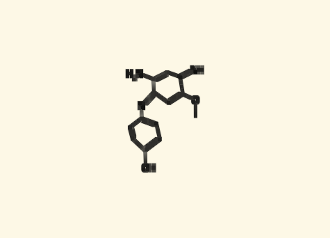 COC1=CC(=Nc2ccc(O)cc2)C(N)=CC1=N